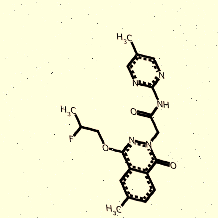 Cc1cnc(NC(=O)Cn2nc(OCC(C)F)c3cc(C)ccc3c2=O)nc1